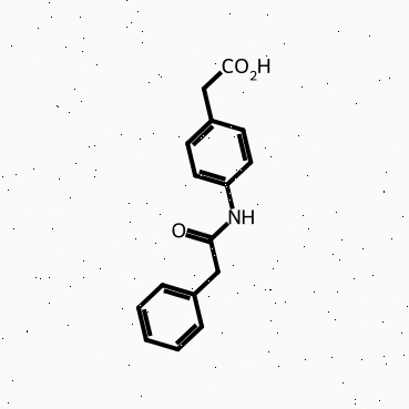 O=C(O)Cc1ccc(NC(=O)Cc2ccccc2)cc1